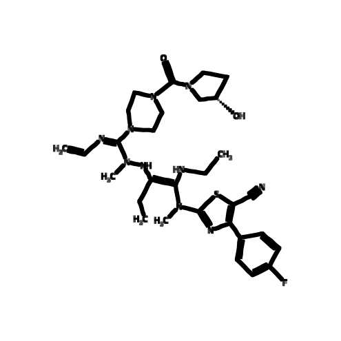 C=C/N=C(/N1CCN(C(=O)N2CC[C@H](O)C2)CC1)N(C)N/C(CC)=C(\NCC)N(C)c1nc(-c2ccc(F)cc2)c(C#N)s1